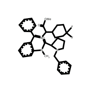 COC(=O)C(/N=C(\c1ccccc1)c1ccccc1N(C)C(=O)C1CCCN1Cc1ccccc1)C1CCC(F)(F)CC1